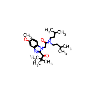 COc1ccc2c(c1)nc(C(=O)C(C)(C)C)n2CC(=O)N(CCC(C)C)CCC(C)C